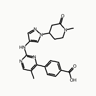 Cc1cnc(Nc2cnn(C3CCN(C)C(=O)C3)c2)nc1-c1ccc(C(=O)O)cc1